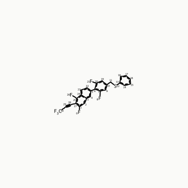 Fc1cc2cc(-c3c(F)cc(CSc4ccccc4)cc3F)ccc2c(F)c1C#CC(F)(F)F